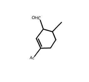 CC(=O)C1=CC(C=O)C(C)CC1